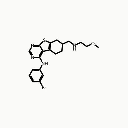 COCCNCC1CCc2c(sc3ncnc(Nc4cccc(Br)c4)c23)C1